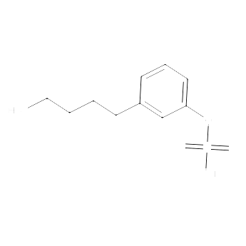 CCCCCc1cccc(OS(C)(=O)=O)c1